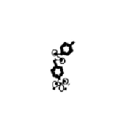 CO[Si](OC)(OC)c1ccc(CS(=O)(=O)c2ccc(C)cc2)cc1